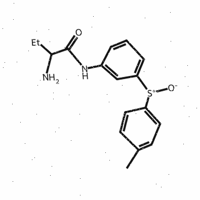 CCC(N)C(=O)Nc1cccc([S+]([O-])c2ccc(C)cc2)c1